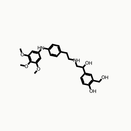 COc1cc(Nc2ccc(CCNCC(O)c3ccc(O)c(CO)c3)cc2)cc(OC)c1OC